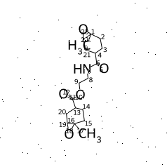 CC12CCC(C(=O)NCCOC(=O)C3CCC4(C)OC4C3)CC1O2